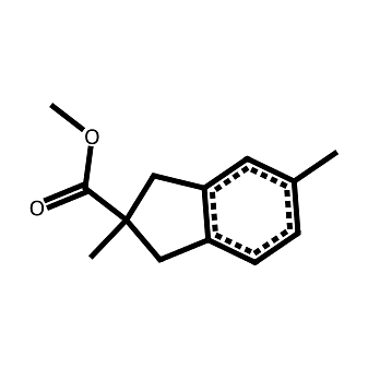 COC(=O)C1(C)Cc2ccc(C)cc2C1